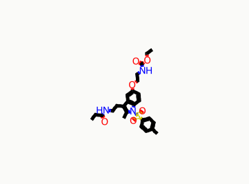 CCOC(=O)NCCOc1ccc2c(c1)c(CCNC(=O)CC)c(C)n2S(=O)(=O)c1ccc(C)cc1